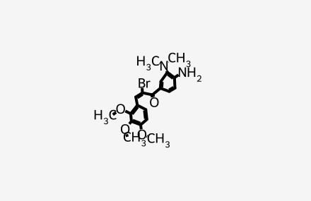 COc1ccc(/C=C(/Br)C(=O)c2ccc(N)c(N(C)C)c2)c(OC)c1OC